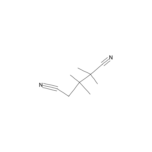 CC(C)(C#N)C(C)(C)CC#N